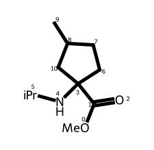 COC(=O)C1(NC(C)C)CCC(C)C1